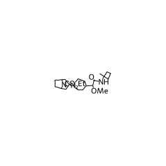 CCOC(=O)N1C2CCC1CC(N1CCC(C(OC)C(=O)NC3(C)CCC3)CC1)C2